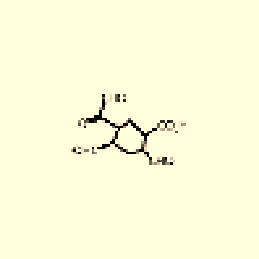 O=[C]C(=O)C1CC(C(=O)O)C([C]=O)CC1[C]=O